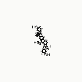 O=S(=O)(Nc1ccc2c(c1)C(=NO)c1cc(NS(=O)(=O)c3cccc(O)c3)ccc1-2)c1cccc(O)c1